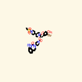 CCS(=O)(=O)N1CCC(C2CCN(C(=O)[C@@H](Cc3ccc(O)c(Br)c3)OC(=O)N3CCC(N4CCc5ccccc5NC4=O)CC3)CC2)CC1